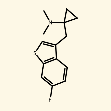 CN(C)C1(Cc2csc3cc(F)ccc23)CC1